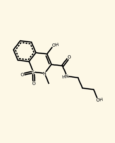 CN1C(C(=O)NCCCO)=C(O)c2ccccc2S1(=O)=O